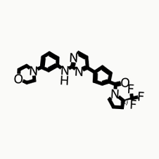 O=C(c1ccc(-c2ccnc(Nc3cccc(N4CCOCC4)c3)n2)cc1)N1CCC[C@@H]1C(F)(F)F